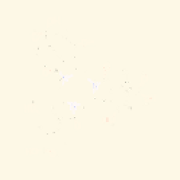 Cc1c(C(=O)O)cc(O)cc1C(=O)N1CCN(C(=O)c2cc(O)cc(C(=O)O)c2C)CCN(C(=O)c2cc(O)cc(C(=O)O)c2C)CC1